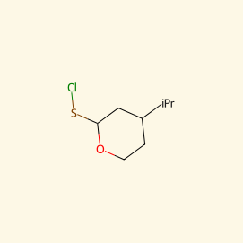 CC(C)C1CCOC(SCl)C1